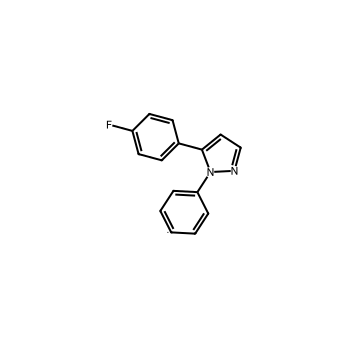 Fc1ccc(-c2ccnn2-c2cc[c]cc2)cc1